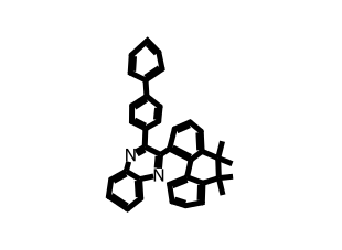 CC1(C)c2ccccc2-c2c(-c3nc4ccccc4nc3-c3ccc(-c4ccccc4)cc3)cccc2C1(C)C